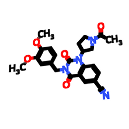 COc1ccc(Cn2c(=O)c3cc(C#N)ccc3n(C3CCN(C(C)=O)C3)c2=O)cc1OC